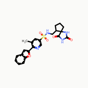 Cc1cc(S(=O)(=O)NCC2CCCC23NC(=O)NC3=O)cnc1-c1cc2ccccc2o1